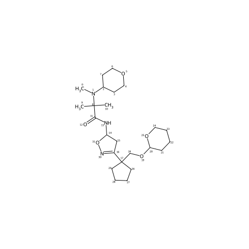 CN(C1CCOCC1)C(C)(C)C(=O)NC1CC(C2(COC3CCCCO3)CCCC2)=NO1